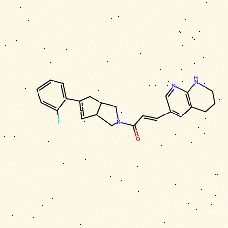 O=C(/C=C/c1cnc2c(c1)CCCN2)N1CC2C=C(c3ccccc3F)CC2C1